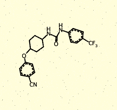 N#Cc1ccc(OC2CCC(NC(=O)Nc3ccc(C(F)(F)F)cc3)CC2)cc1